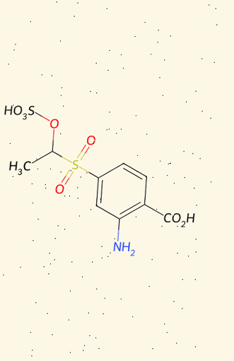 CC(OS(=O)(=O)O)S(=O)(=O)c1ccc(C(=O)O)c(N)c1